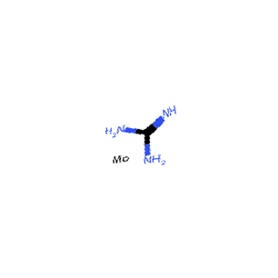 N=C(N)N.[Mo]